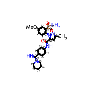 COc1ccc(-n2nc(C)cc2C(=O)Nc2ccc(C(=N)N3CCCCC3)cc2)c(S(N)(=O)=O)c1